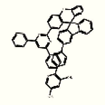 Cc1cnc(-c2ccc(-c3ccc4c(c3)-c3ccccc3C43c4ccccc4Oc4ccc(-c5nc(-c6ccccc6)cc(-c6ccccc6)n5)cc43)cc2)c(C)c1